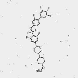 CCCCOC1CCC(C2COC(c3cc(F)c(C(F)(F)Oc4ccc(-c5cc(F)c(F)c(F)c5)c(F)c4)c(F)c3)OC2)CC1